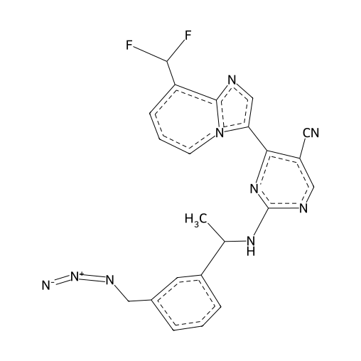 CC(Nc1ncc(C#N)c(-c2cnc3c(C(F)F)cccn23)n1)c1cccc(CN=[N+]=[N-])c1